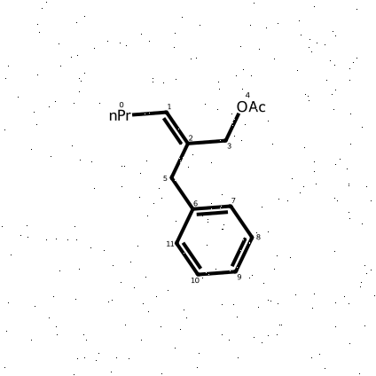 CCC/C=C(/COC(C)=O)Cc1ccccc1